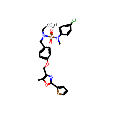 Cc1oc(-c2cccs2)nc1COc1ccc(CN(CC(=O)O)S(=O)(=O)N(C)c2ccc(Cl)cc2)cc1